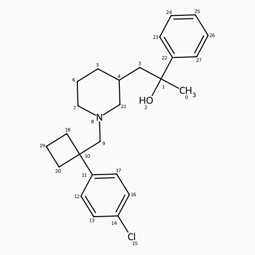 CC(O)(CC1CCCN(CC2(c3ccc(Cl)cc3)CCC2)C1)c1ccccc1